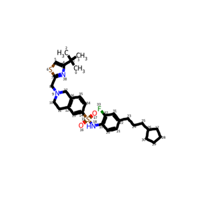 CC(C)(C)c1csc(CN2CCc3cc(S(=O)(=O)Nc4ccc(CCCC5CCCC5)cc4F)ccc3C2)n1